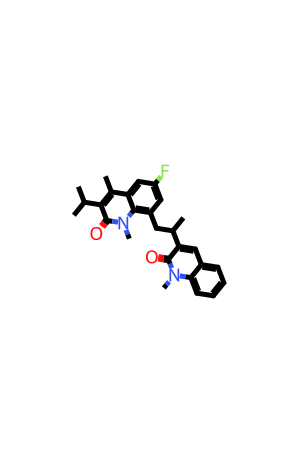 Cc1c(C(C)C)c(=O)n(C)c2c(CC(C)c3cc4ccccc4n(C)c3=O)cc(F)cc12